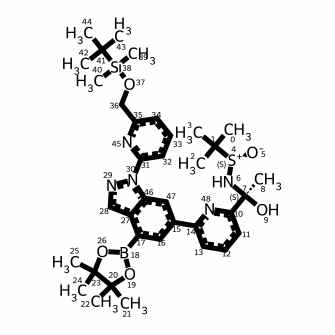 CC(C)(C)[S@@+]([O-])N[C@@](C)(O)c1cccc(-c2cc(B3OC(C)(C)C(C)(C)O3)c3cnn(-c4cccc(CO[Si](C)(C)C(C)(C)C)n4)c3c2)n1